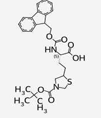 CC(C)(C)OC(=O)N1CSC(CC[C@H](NC(=O)OCC2c3ccccc3-c3ccccc32)C(=O)O)C1